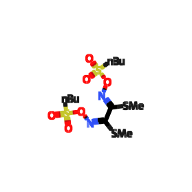 CCCCS(=O)(=O)ON=C(SC)C(=NOS(=O)(=O)CCCC)SC